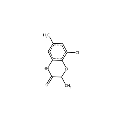 Cc1cc(Cl)c2c(c1)NC(=O)C(C)O2